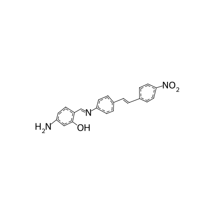 Nc1ccc(/C=N/c2ccc(C=Cc3ccc([N+](=O)[O-])cc3)cc2)c(O)c1